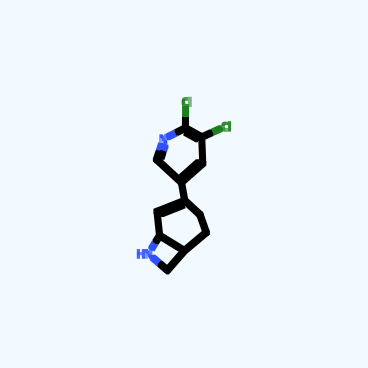 Clc1cc(C2=CC3NCC3CC2)cnc1Cl